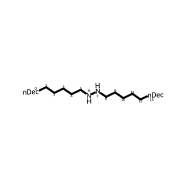 CCCCCCCCCCCCCCCNNCCCCCCCCCCCCCCC